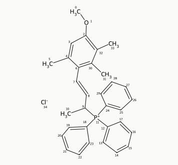 COc1cc(C)c(/C=C/C(C)[P+](c2ccccc2)(c2ccccc2)c2ccccc2)c(C)c1C.[Cl-]